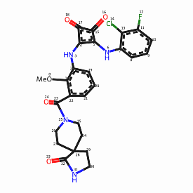 COc1c(Nc2c(Nc3cccc(F)c3Cl)c(=O)c2=O)cccc1C(=O)N1CCC2(CCNC2=O)CC1